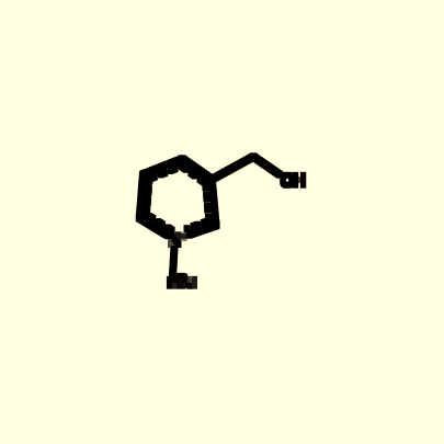 CCCC[n+]1cccc(CO)c1